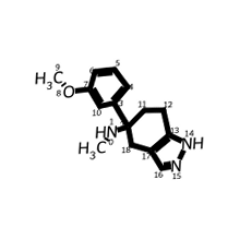 CNC1(c2cccc(OC)c2)CCc2[nH]ncc2C1